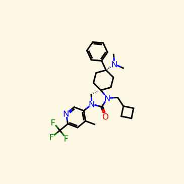 Cc1cc(C(F)(F)F)ncc1N1C[C@]2(CC[C@@](c3ccccc3)(N(C)C)CC2)N(CC2CCC2)C1=O